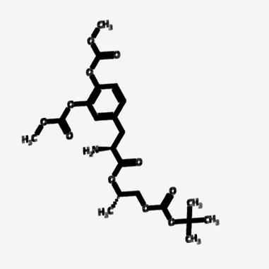 COC(=O)Oc1ccc(C[C@H](N)C(=O)O[C@@H](C)COC(=O)OC(C)(C)C)cc1OC(=O)OC